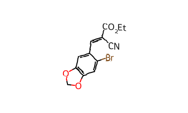 CCOC(=O)C(C#N)=Cc1cc2c(cc1Br)OCO2